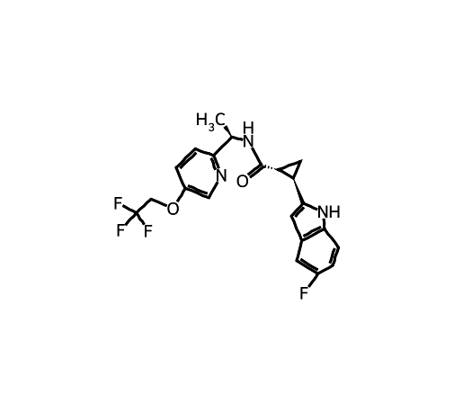 C[C@@H](NC(=O)[C@@H]1C[C@H]1c1cc2cc(F)ccc2[nH]1)c1ccc(OCC(F)(F)F)cn1